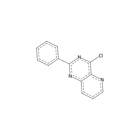 Clc1nc(-c2ccccc2)nc2cccnc12